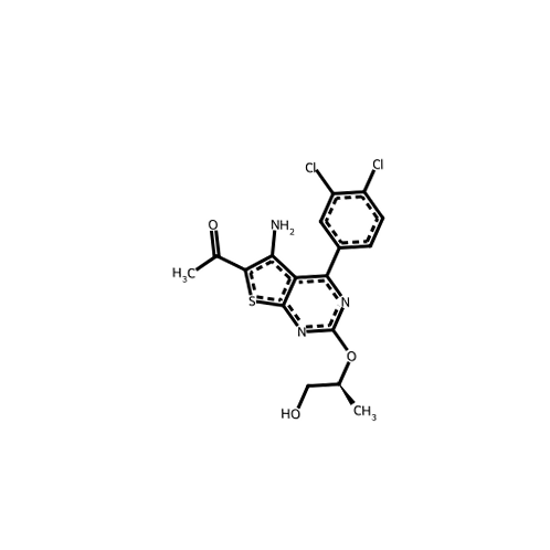 CC(=O)c1sc2nc(O[C@@H](C)CO)nc(-c3ccc(Cl)c(Cl)c3)c2c1N